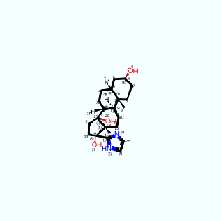 C[C@]12CC[C@H](O)C[C@H]1CC[C@@H]1[C@@H]2CC[C@]2(C)[C@@](O)(c3ncc[nH]3)CC[C@]12O